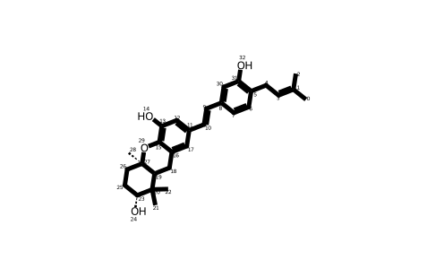 CC(C)=CCc1ccc(/C=C/c2cc(O)c3c(c2)CC2C(C)(C)[C@H](O)CC[C@@]2(C)O3)cc1O